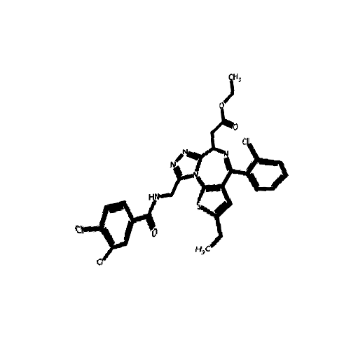 CCOC(=O)CC1N=C(c2ccccc2Cl)c2cc(CC)sc2-n2c(CNC(=O)c3ccc(Cl)c(Cl)c3)nnc21